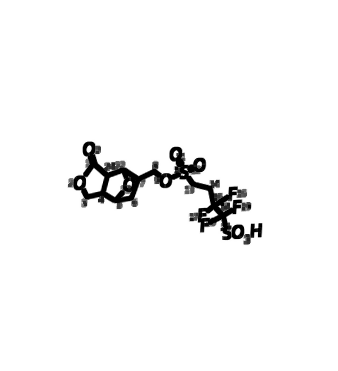 O=C1OCC2C3CC(COS(=O)(=O)CCC(F)(F)C(F)(F)S(=O)(=O)O)C(O3)C12